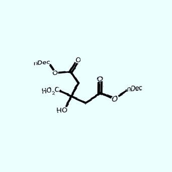 CCCCCCCCCCOC(=O)CC(O)(CC(=O)OCCCCCCCCCC)C(=O)O